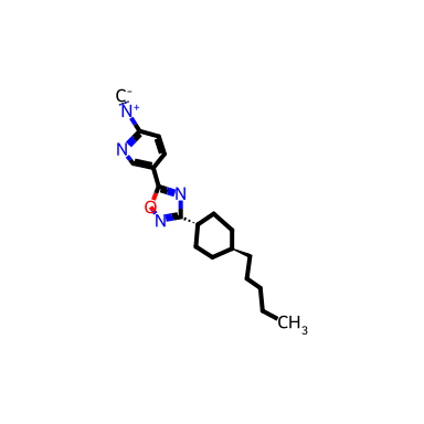 [C-]#[N+]c1ccc(-c2nc([C@H]3CC[C@H](CCCCC)CC3)no2)cn1